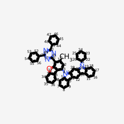 Cc1cc(-n2c3ccccc3c3cc4c5ccccc5n(-c5ccccc5)c4cc32)c2c(oc3ccccc32)c1-c1nc(-c2ccccc2)nc(-c2ccccc2)n1